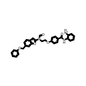 Nc1ccccc1NC(=O)c1ccc(OCCN(C=O)c2cc3ccc(COc4ccccc4)cc3o2)cc1